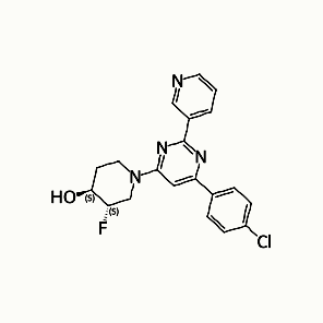 O[C@H]1CCN(c2cc(-c3ccc(Cl)cc3)nc(-c3cccnc3)n2)C[C@@H]1F